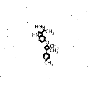 C/C(=N/O)c1c[nH]c2ccc(O[C@@H]3C[C@H](c4ccc(C)cc4)C3(C)C)cc12